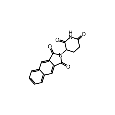 O=C1CCC(N2C(=O)c3cc4ccccc4cc3C2=O)C(=O)N1